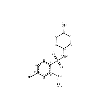 O=S(=O)(NC1CCC(O)CC1)c1ccc(Br)cc1OC(F)(F)F